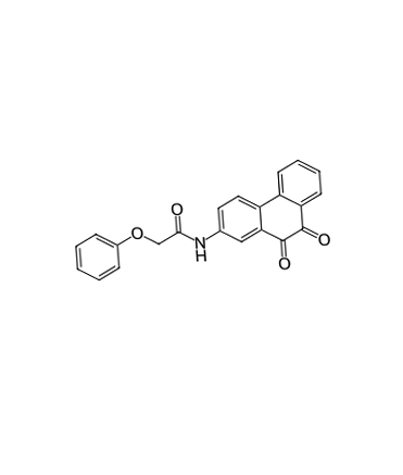 O=C(COc1ccccc1)Nc1ccc2c(c1)C(=O)C(=O)c1ccccc1-2